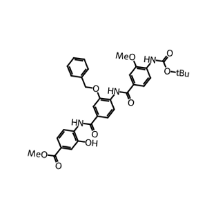 COC(=O)c1ccc(NC(=O)c2ccc(NC(=O)c3ccc(NC(=O)OC(C)(C)C)c(OC)c3)c(OCc3ccccc3)c2)c(O)c1